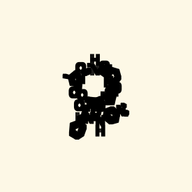 C[C@@H]1CC2C(=O)OC[C@H](NC(=O)[C@H](Cc3ccccc3)NC(=O)Nc3ccc(N(C)C)cc3)C(=O)N3CCC[C@H]3C(=O)N3CCCC[C@H]3C(=O)N[C@@H](C)C(=O)N2C1